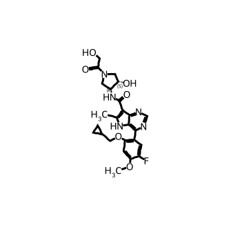 COc1cc(OCC2CC2)c(-c2ncnc3c(C(=O)N[C@@H]4CN(C(=O)CO)C[C@@H]4O)c(C)[nH]c23)cc1F